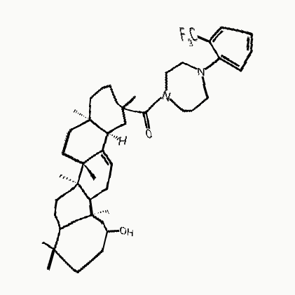 CC1(C(=O)N2CCN(c3ccccc3C(F)(F)F)CC2)CC[C@]2(C)CC[C@]3(C)C(=CCC4[C@@]5(C)C(O)CCC(C)(C)C5CC[C@]43C)[C@@H]2C1